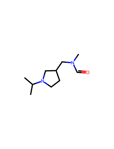 CC(C)N1CCC(CN(C)C=O)C1